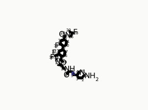 Nc1ccc(/C=C/C(=O)NCc2cnc(-c3ccc(-c4ccc(C(=O)N5CC(F)C5)cc4F)cc3C(F)(F)F)o2)cn1